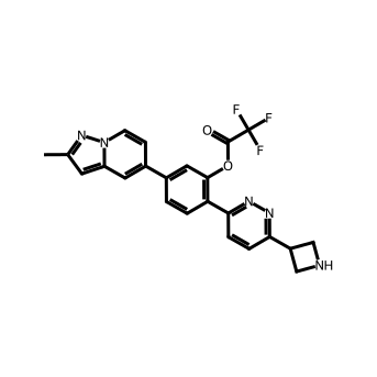 Cc1cc2cc(-c3ccc(-c4ccc(C5CNC5)nn4)c(OC(=O)C(F)(F)F)c3)ccn2n1